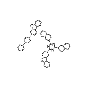 C1=CC(c2nc(-c3ccc4ccccc4c3)nc(-c3ccc4ccc(-c5cc(-c6ccc(-c7ccccc7)cc6)cc6oc7ccccc7c56)cc4c3)n2)Cc2c1sc1ccccc21